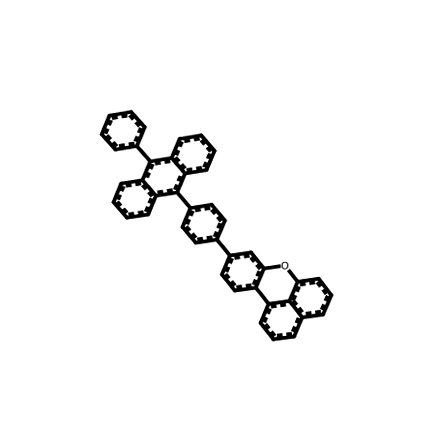 c1ccc(-c2c3ccccc3c(-c3ccc(-c4ccc5c(c4)Oc4cccc6cccc-5c46)cc3)c3ccccc23)cc1